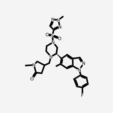 Cc1cc2c(cnn2-c2ccc(F)cc2)cc1[C@@H]1CN(S(=O)(=O)c2cnn(C)n2)CCN1CC1CC(=O)N(C)C1